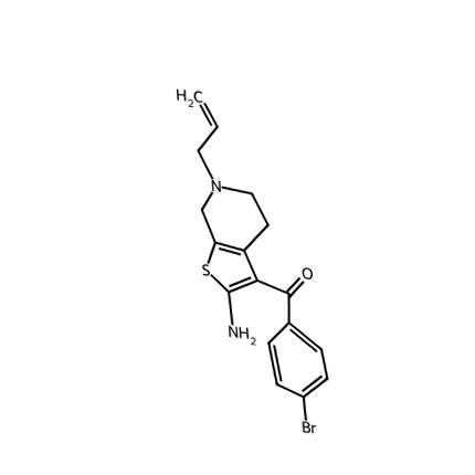 C=CCN1CCc2c(sc(N)c2C(=O)c2ccc(Br)cc2)C1